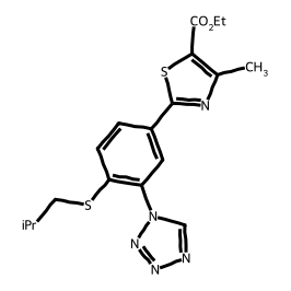 CCOC(=O)c1sc(-c2ccc(SCC(C)C)c(-n3cnnn3)c2)nc1C